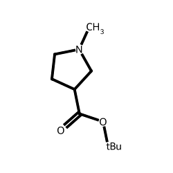 CN1CCC(C(=O)OC(C)(C)C)C1